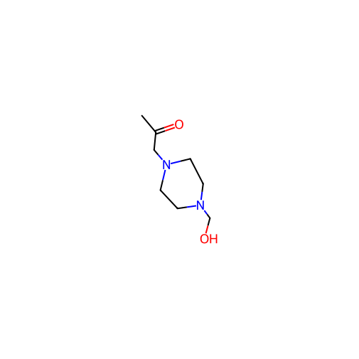 CC(=O)CN1CCN(CO)CC1